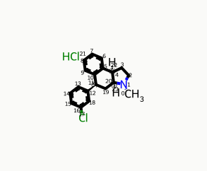 CN1CC[C@@H]2c3ccccc3[C@H](c3cccc(Cl)c3)C[C@@H]21.Cl